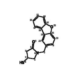 O=C1CC(S)CN1Cc1ccc2oc3ccccc3c2c1